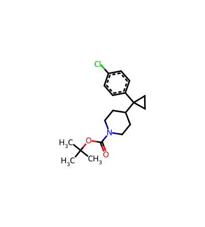 CC(C)(C)OC(=O)N1CCC(C2(c3ccc(Cl)cc3)CC2)CC1